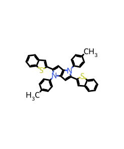 Cc1ccc(-n2c(-c3cc4ccccc4s3)cc3c2cc(-c2cc4ccccc4s2)n3-c2ccc(C)cc2)cc1